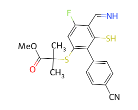 COC(=O)C(C)(C)Sc1cc(F)c(C=N)c(S)c1-c1ccc(C#N)cc1